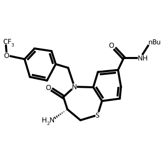 CCCCNC(=O)c1ccc2c(c1)N(Cc1ccc(OC(F)(F)F)cc1)C(=O)[C@@H](N)CS2